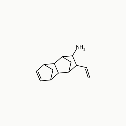 C=CC1C(N)C2CC1C1C3C=CC(C3)C21